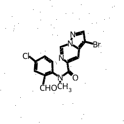 CN(C(=O)c1cc2c(Br)cnn2cn1)c1ccc(Cl)cc1C=O